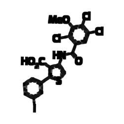 COc1c(Cl)c(Cl)cc(C(=O)Nc2csc(-c3cccc(I)c3)c2C(=O)O)c1Cl